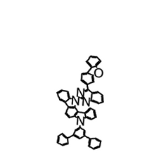 c1ccc(-c2cc(-c3ccccc3)cc(-n3c4ccccc4c4c3ccc3c5ccccc5n(-c5nc(-c6ccc7c(c6)oc6ccccc67)c6ccccc6n5)c34)c2)cc1